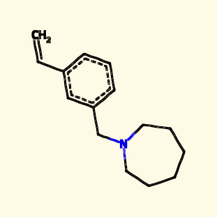 C=Cc1cccc(CN2CCCCCC2)c1